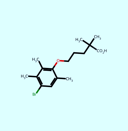 Cc1cc(Br)c(C)c(C)c1OCCCC(C)(C)C(=O)O